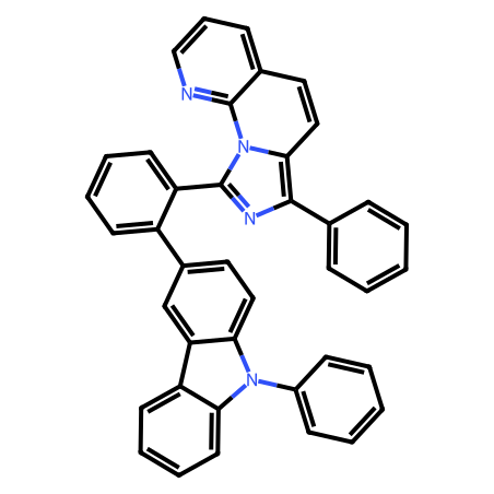 c1ccc(-c2nc(-c3ccccc3-c3ccc4c(c3)c3ccccc3n4-c3ccccc3)n3c2ccc2cccnc23)cc1